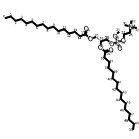 CCCCCCCCCCCCCCCC(=O)OC[C@H](COP(=O)(OC)OCC[N+](C)(C)C)OC(=O)CCCCCCCCCCCCCCC